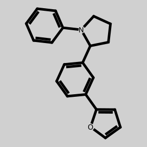 c1ccc(N2CCCC2c2cccc(-c3ccco3)c2)cc1